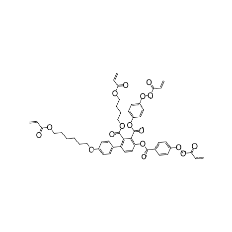 C=CC(=O)OCCCCCCOc1ccc(-c2ccc(OC(=O)c3ccc(OOC(=O)C=C)cc3)c(C(=O)Oc3ccc(OOC(=O)C=C)cc3)c2C(=O)OCCCCOC(=O)C=C)cc1